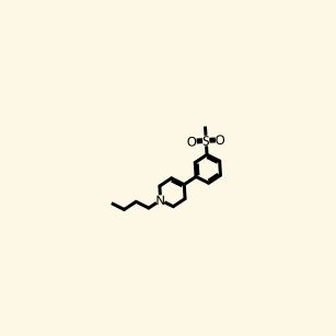 CCCCN1CC=C(c2cccc(S(C)(=O)=O)c2)CC1